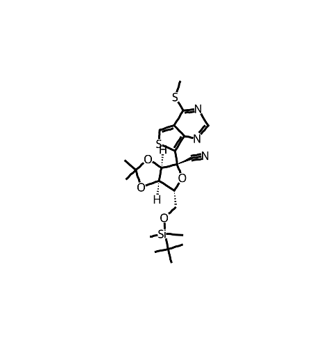 CSc1ncnc2c([C@]3(C#N)O[C@H](CO[Si](C)(C)C(C)(C)C)[C@H]4OC(C)(C)O[C@H]43)scc12